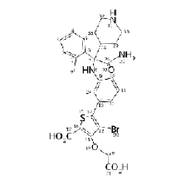 Cc1ccccc1C(Nc1cccc(-c2sc(C(=O)O)c(OCC(=O)O)c2Br)c1)(C(N)=O)C1CCNCC1